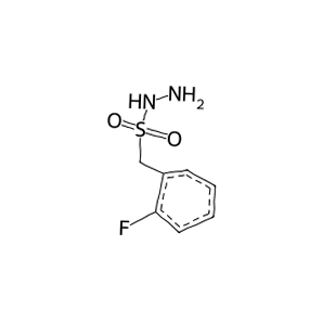 NNS(=O)(=O)Cc1ccccc1F